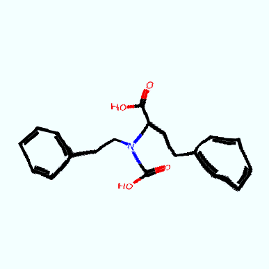 O=C(O)C(CCc1ccccc1)N(CCc1ccccc1)C(=O)O